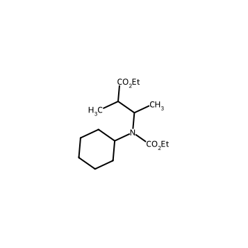 CCOC(=O)C(C)C(C)N(C(=O)OCC)C1CCCCC1